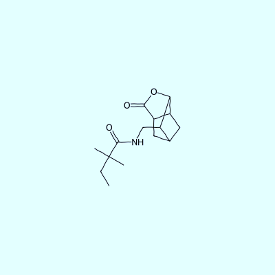 CCC(C)(C)C(=O)NCC1C2CC3C(=O)OC1C3C2